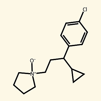 [O-][N+]1(CCC(c2ccc(Cl)cc2)C2CC2)CCCC1